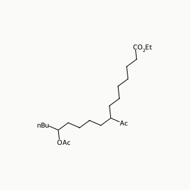 CCCCC(CCCCC(CCCCCCC(=O)OCC)C(C)=O)OC(C)=O